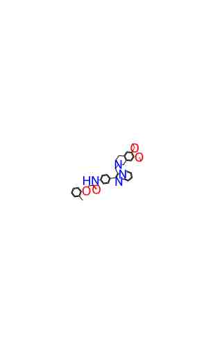 COc1cc2c(cc1OC)CN(Cc1c(-c3ccc(NC(=O)COc4ccccc4C)cc3)nc3ccccn13)CC2